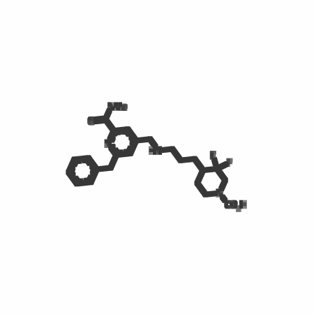 CNC(=O)c1cc(CNCCCC2CCN(C(=O)O)CC2(F)F)cc(Cc2ccccc2)n1